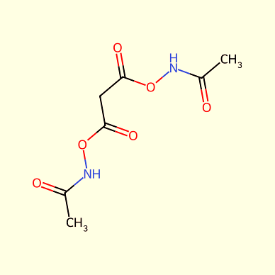 CC(=O)NOC(=O)CC(=O)ONC(C)=O